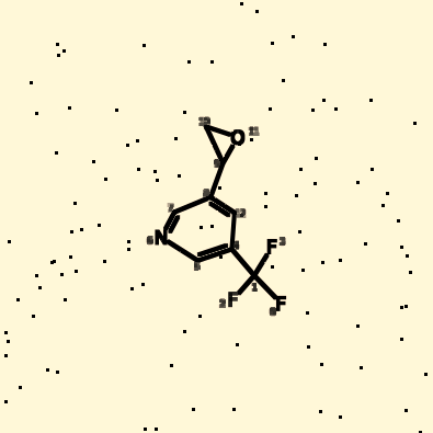 FC(F)(F)c1cncc(C2CO2)c1